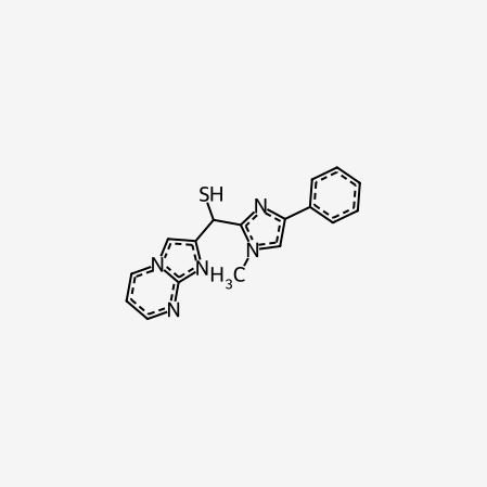 Cn1cc(-c2ccccc2)nc1C(S)c1cn2cccnc2n1